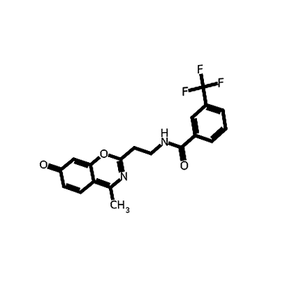 Cc1nc(CCNC(=O)c2cccc(C(F)(F)F)c2)oc2cc(=O)ccc1-2